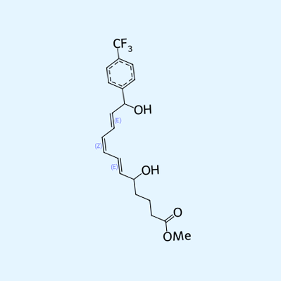 COC(=O)CCCC(O)/C=C/C=C\C=C\C(O)c1ccc(C(F)(F)F)cc1